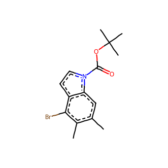 Cc1cc2c(ccn2C(=O)OC(C)(C)C)c(Br)c1C